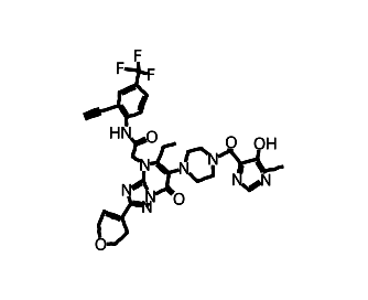 C#Cc1cc(C(F)(F)F)ccc1NC(=O)Cn1c(CC)c(N2CCN(C(=O)c3ncnc(C)c3O)CC2)c(=O)n2nc(C3=CCOCC3)nc12